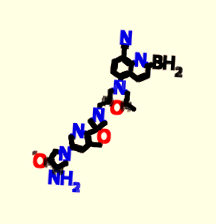 Bc1ccc2c(N3C[C@H](CN4CC5(C4)OCc4cc(N6C[C@@H](N)[C@H](OC)C6)cnc45)O[C@H](C)C3)ccc(C#N)c2n1